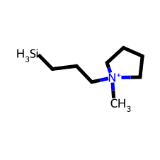 C[N+]1(CCC[SiH3])CCCC1